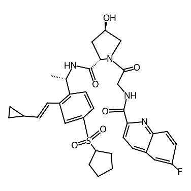 C[C@H](NC(=O)[C@@H]1C[C@@H](O)CN1C(=O)CNC(=O)c1ccc2cc(F)ccc2n1)c1ccc(S(=O)(=O)C2CCCC2)cc1/C=C/C1CC1